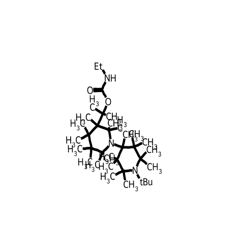 CCNC(=O)OC(C)(C)C1(C)C(C)(C)N(C2(C)C(C)(C)C(C)(C)N(C(C)(C)C)C(C)(C)C2(C)C)C(C)(C)C(C)(C)C1(C)C